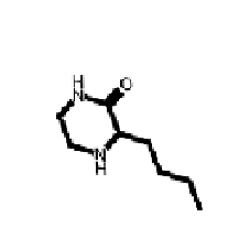 CCCCC1NCCNC1=O